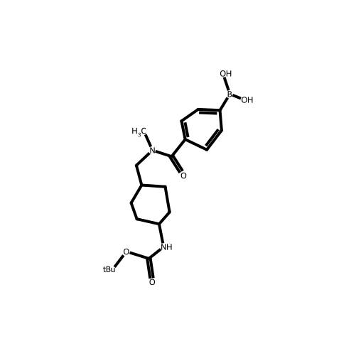 CN(CC1CCC(NC(=O)OC(C)(C)C)CC1)C(=O)c1ccc(B(O)O)cc1